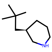 CC(C)(C)C[C@H]1CCCNC1